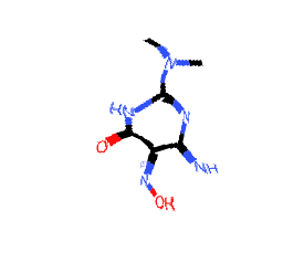 CN(C)C1=NC(=N)/C(=N\O)C(=O)N1